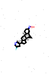 C[C@]12CCC(=NO)C=C1C1CC1[C@@H]1[C@@H]2CC[C@]2(C)C(c3cncc(F)c3)=CC[C@@H]12